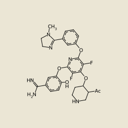 CC(=O)C1CNCCC1Oc1c(F)c(Oc2cccc(C3=NCCN3C)c2)nc(Oc2cc(C(=N)N)ccc2O)c1F